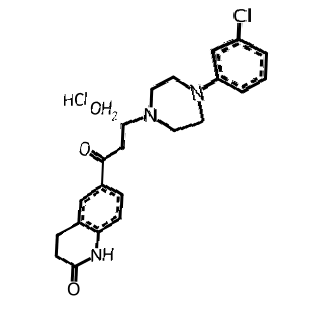 Cl.O.O=C1CCc2cc(C(=O)CCN3CCN(c4cccc(Cl)c4)CC3)ccc2N1